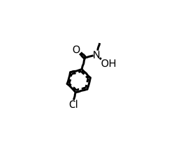 CN(O)C(=O)c1ccc(Cl)cc1